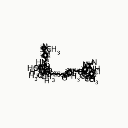 COc1cc(Nc2c(C#N)cnc3cc(OCCCN4CCN(C(=O)CCCCCCC(=O)N[C@H](C(=O)N5C[C@H](O)C[C@H]5C(=O)NCc5ccc(-c6scnc6C)cc5)C(C)(C)C)CC4)c(OC)cc23)c(Cl)cc1Cl